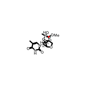 COC[C@]12COC([C@H](n3cc(C)c(=O)[nH]c3=O)O1)[C@@H]2OP(C)(=O)O